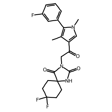 Cc1c(C(=O)CN2C(=O)NC3(CCC(F)(F)CC3)C2=O)cn(C)c1-c1cccc(F)c1